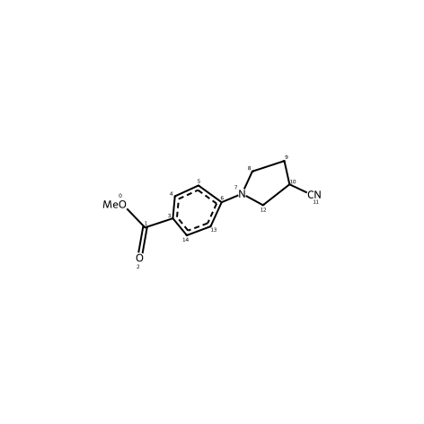 COC(=O)c1ccc(N2CCC(C#N)C2)cc1